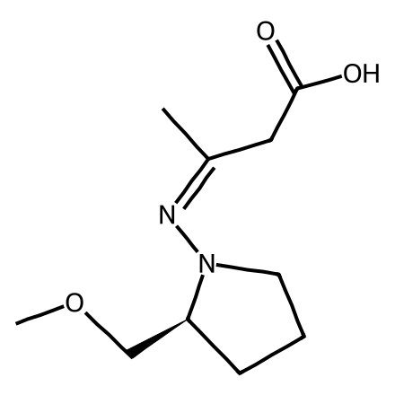 COC[C@@H]1CCCN1/N=C(/C)CC(=O)O